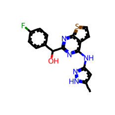 Cc1cc(Nc2nc(C(O)c3ccc(F)cc3)nc3sccc23)n[nH]1